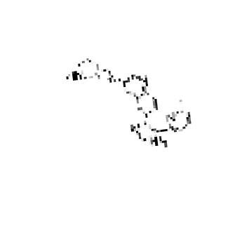 Cc1cccc(-c2[nH]cnc2-c2ccc3ncc(N4CC5(CCCNC5)C4)cc3c2)n1